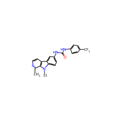 CCn1c2ccc(NC(=O)Nc3ccc(C(F)(F)F)cc3)cc2c2ccnc(C)c21